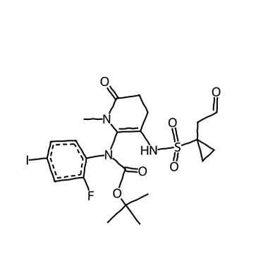 CN1C(=O)CCC(NS(=O)(=O)C2(CC=O)CC2)=C1N(C(=O)OC(C)(C)C)c1ccc(I)cc1F